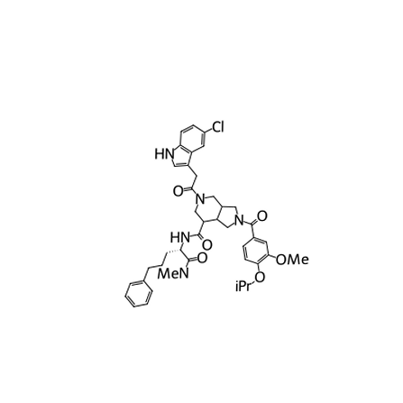 CNC(=O)[C@H](CCCc1ccccc1)NC(=O)C1CN(C(=O)Cc2c[nH]c3ccc(Cl)cc23)CC2CN(C(=O)c3ccc(OC(C)C)c(OC)c3)CC21